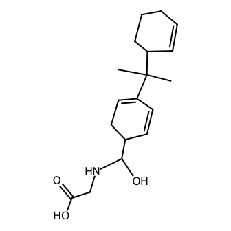 CC(C)(C1=CCC(C(O)NCC(=O)O)C=C1)C1C=CCCC1